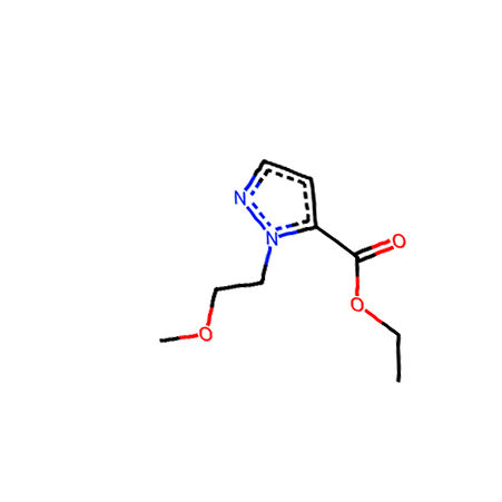 CCOC(=O)c1ccnn1CCOC